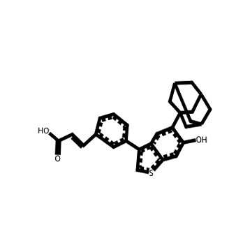 O=C(O)/C=C/c1cccc(-c2csc3cc(O)c(C45CC6CC(CC(C6)C4)C5)cc23)c1